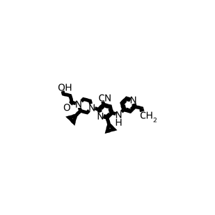 C=Cc1cc(Nc2cc(C#N)c(N3CCN(C(=O)CCO)C(C4CC4)C3)nc2C2CC2)ccn1